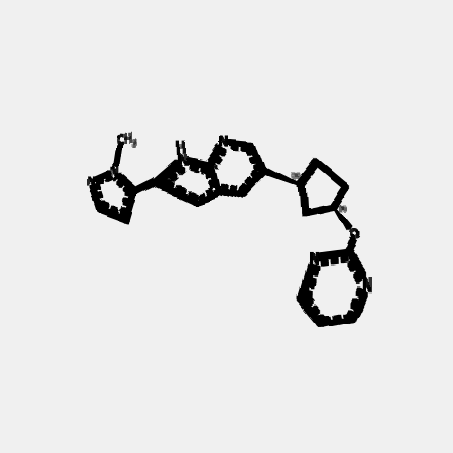 Cn1nccc1-c1cc2cc([C@H]3CC[C@@H](Oc4ncccn4)C3)cnc2[nH]1